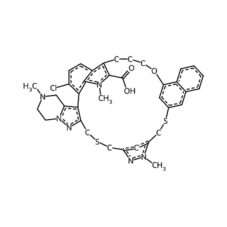 CN1CCn2nc3c(c2C1)-c1c(Cl)ccc2c(c(C(=O)O)n(C)c12)CCCOc1cc(cc2ccccc12)SCc1cc(nn1C)CSC3